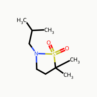 CC(C)CN1CCC(C)(C)S1(=O)=O